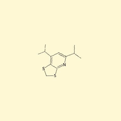 CC(C)c1cc(C(C)C)c2c(n1)SCS2